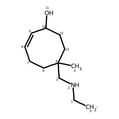 [CH2]CNCC1(C)CC/C=C\C(O)CC1